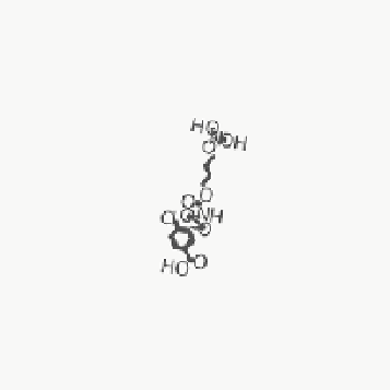 O=C(NS(=O)(=O)c1cc(C(=O)O)ccc1Cl)OCCCCON(O)O